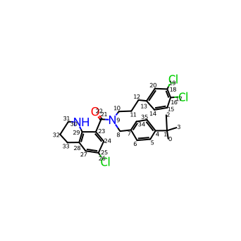 CC(C)(C)c1ccc(CN(CCCc2ccc(Cl)c(Cl)c2)C(=O)c2cc(Cl)cc3c2NCCC3)cc1